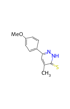 COc1ccc(-c2cc(C)c(=S)[nH]n2)cc1